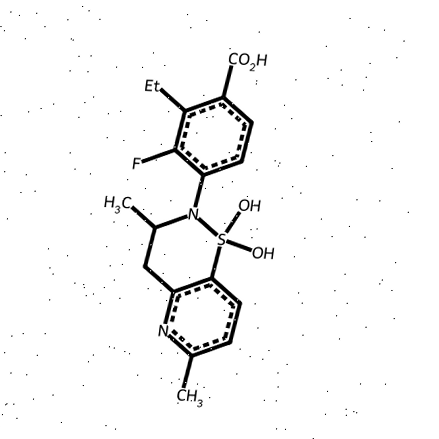 CCc1c(C(=O)O)ccc(N2C(C)Cc3nc(C)ccc3S2(O)O)c1F